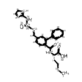 CSCC[C@H](NC(=O)c1ccc(CS[S+]([O-])Nc2nccs2)cc1-c1ccccc1)C(=O)O